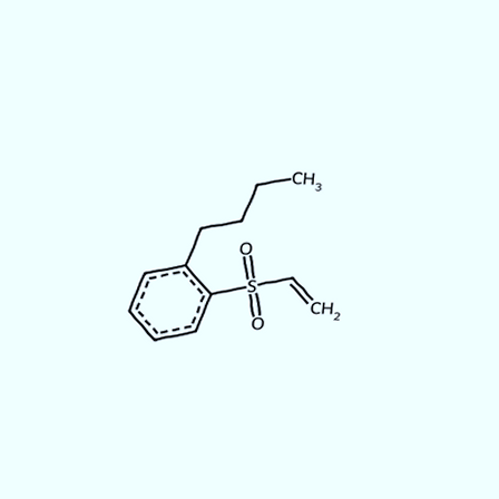 C=CS(=O)(=O)c1ccccc1CCCC